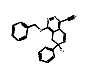 [2H]C1(c2ccccc2)C=Cc2c(C#N)nnc(OCc3ccccc3)c2C1